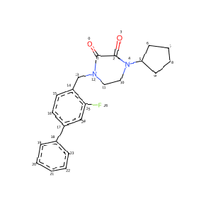 O=C1C(=O)N(C2CCCC2)CCN1Cc1ccc(-c2ccccc2)cc1F